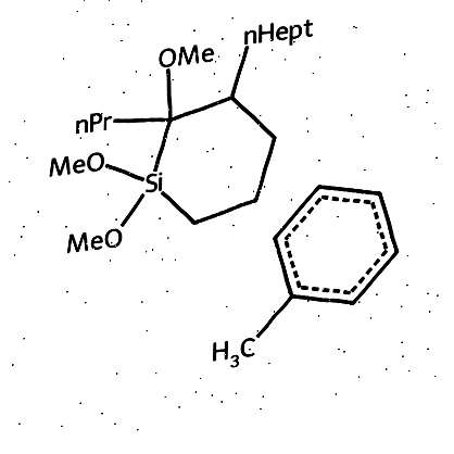 CCCCCCCC1CCC[Si](OC)(OC)C1(CCC)OC.Cc1ccccc1